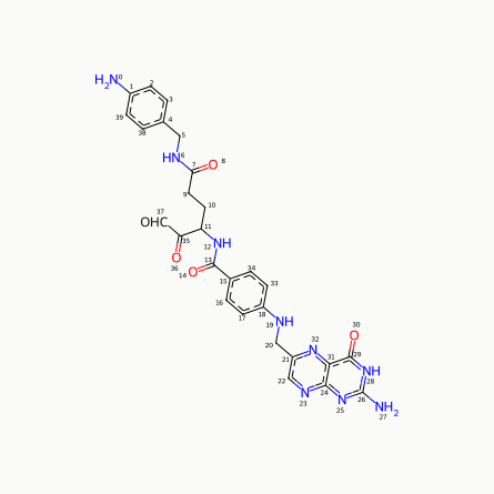 Nc1ccc(CNC(=O)CCC(NC(=O)c2ccc(NCc3cnc4nc(N)[nH]c(=O)c4n3)cc2)C(=O)C=O)cc1